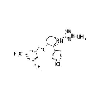 Cl.Cn1nnc(C2CC3(c4ccccc4)NC2CCC3OCc2cc(C(F)(F)F)cc(C(F)(F)F)c2)n1